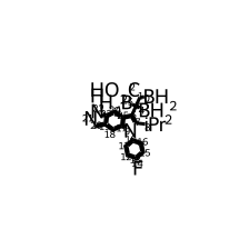 BC(C(=O)O)C(B)(B)c1c(C(C)C)n(-c2ccc(F)cc2)c2cc3cn[nH]c3cc12